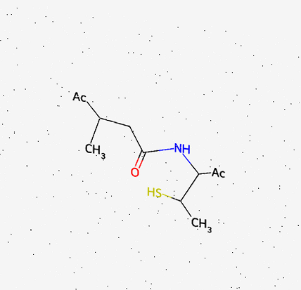 CC(=O)C(C)CC(=O)NC(C(C)=O)C(C)S